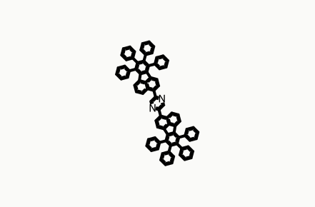 c1ccc(-c2c(-c3ccccc3)c(-c3ccccc3)c3c(c2-c2ccccc2)-c2cccc4c(-c5cnc(-c6ccc7c8c(cccc68)-c6c(-c8ccccc8)c(-c8ccccc8)c(-c8ccccc8)c(-c8ccccc8)c6-7)cn5)ccc-3c24)cc1